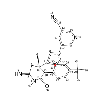 CN1C(=N)C[C@](C)(c2cc(-c3cncc(C#N)c3)cs2)[C@@H](c2ccc(C(C)(C)C)cc2)C1=O